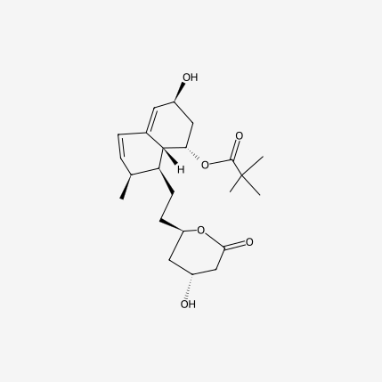 C[C@H]1C=CC2=C[C@@H](O)C[C@H](OC(=O)C(C)(C)C)[C@@H]2[C@H]1CC[C@@H]1C[C@@H](O)CC(=O)O1